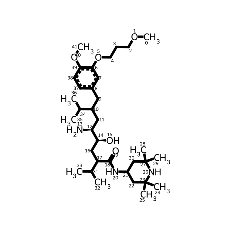 COCCCOc1cc(CC(C[C@H](N)[C@@H](O)CC(C(=O)NC2CC(C)(C)NC(C)(C)C2)C(C)C)C(C)C)ccc1OC